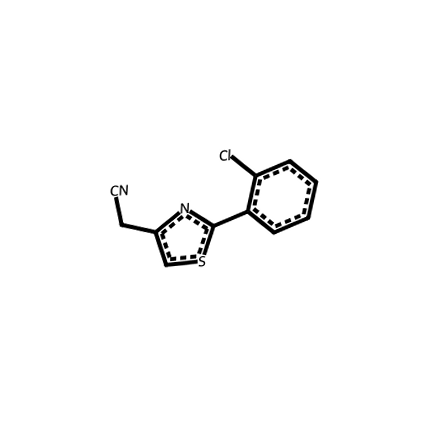 N#CCc1csc(-c2ccccc2Cl)n1